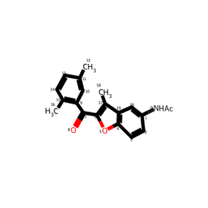 CC(=O)Nc1ccc2oc(C(=O)c3cc(C)ccc3C)c(C)c2c1